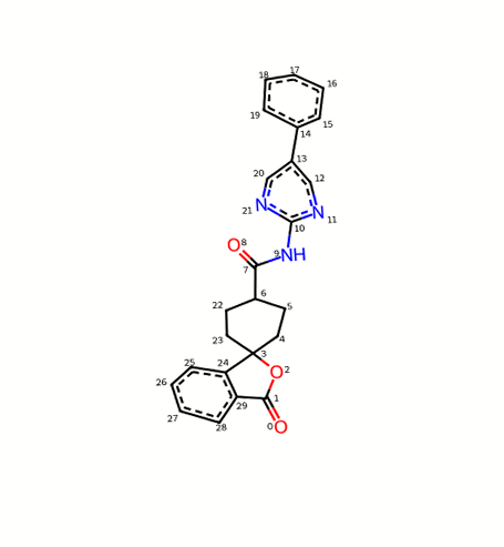 O=C1OC2(CCC(C(=O)Nc3ncc(-c4ccccc4)cn3)CC2)c2ccccc21